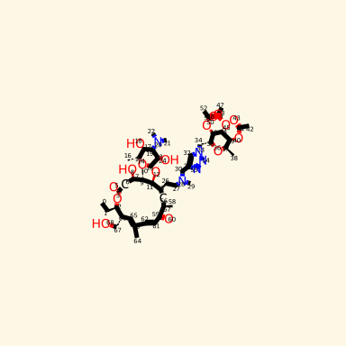 CC[C@H]1OC(=O)C[C@@H](O)[C@H](C)[C@@H](O[C@@H]2O[C@H](C)[C@@H](O)C(N(C)C)C2O)[C@@H](CCN(C)Cc2cn(C[C@H]3O[C@H](C)[C@H](OC(C)=O)[C@@H](OC(C)=O)[C@@H]3OC(C)=O)nn2)C[C@@H](C)C(=O)/C=C/C(C)=C/[C@@H]1CO